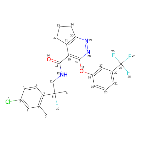 Cc1cc(Cl)ccc1C(C)(F)CNC(=O)c1c(Oc2cccc(C(F)(F)F)c2)nnc2c1CCC2